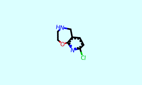 Clc1ccc2c(n1)OCCNC2